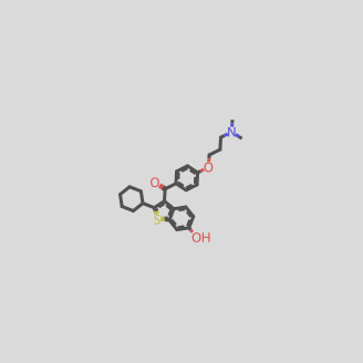 CN(C)CCCOc1ccc(C(=O)c2c(C3CCCCC3)sc3cc(O)ccc23)cc1